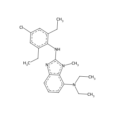 CCc1cc(Cl)cc(CC)c1Nc1nc2cccc(N(CC)CC)c2n1C